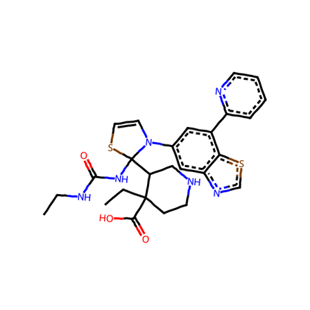 CCNC(=O)NC1(C2CNCCC2(CC)C(=O)O)SC=CN1c1cc(-c2ccccn2)c2scnc2c1